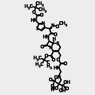 CO/N=C(\C(=O)N[C@@H]1C(=O)N2C(C(=O)OC(C)(C)C)=C(COC(=O)NCCCC(O)(P(=O)(O)O)P(=O)(O)O)CS[C@@H]12)c1csc(NC(=O)OC(C)(C)C)n1